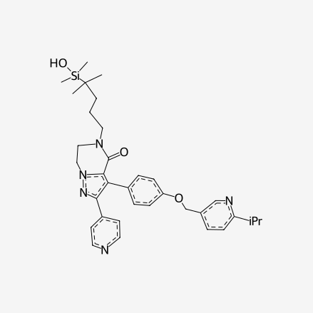 CC(C)c1ccc(COc2ccc(-c3c(-c4ccncc4)nn4c3C(=O)N(CCCC(C)(C)[Si](C)(C)O)CC4)cc2)cn1